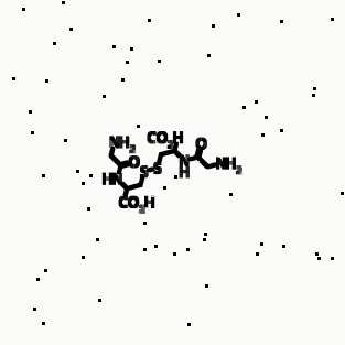 NCC(=O)NC(CSSCC(NC(=O)CN)C(=O)O)C(=O)O